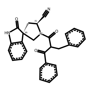 N#C[C@@H]1C[C@@]2(CN1C(=O)C(Cc1ccccc1)C(=O)c1ccccc1)C(=O)Nc1ccccc12